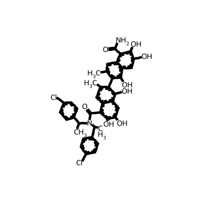 Cc1cc2c(C(N)=O)c(O)c(O)cc2c(O)c1-c1c(C)cc2c(C(=O)N(C(C)c3ccc(Cl)cc3)C(C)c3ccc(Cl)cc3)c(O)c(O)cc2c1O